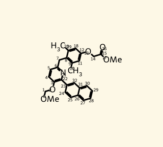 COCOc1ccc(Cc2c(C)cc(OCC(=O)OC)cc2C)nc1-c1ccc2ccccc2c1